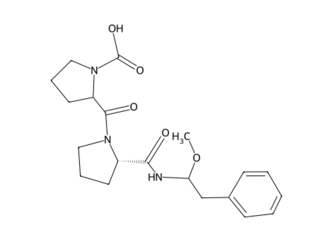 COC(Cc1ccccc1)NC(=O)[C@@H]1CCCN1C(=O)C1CCCN1C(=O)O